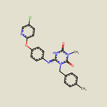 Cc1ccc(Cn2c(=O)n(C)c(=O)[nH]/c2=N\c2ccc(Oc3ccc(Cl)cn3)cc2)cc1